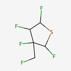 FCC1(F)C(F)SC(F)C1F